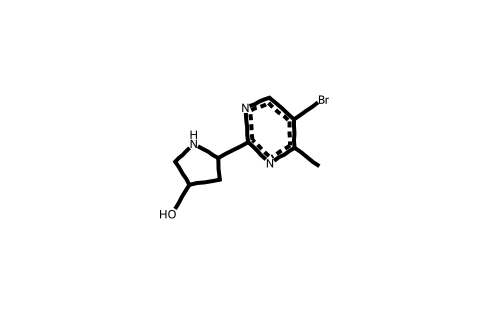 Cc1nc(C2CC(O)CN2)ncc1Br